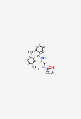 Cc1ccccc1.Cc1ccccc1CNCCCN(O)C(=O)O